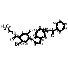 CCOC(=O)c1cc(F)c(-n2ccc3cc(NC(=O)c4ccccc4)ccc32)cc1Br